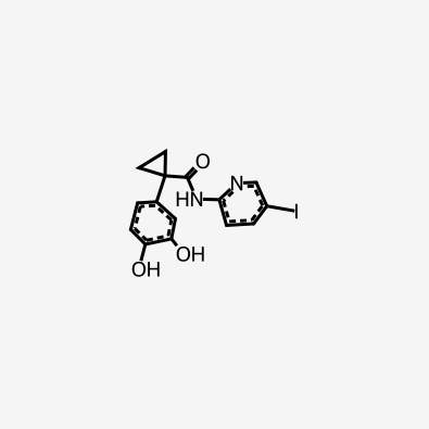 O=C(Nc1ccc(I)cn1)C1(c2ccc(O)c(O)c2)CC1